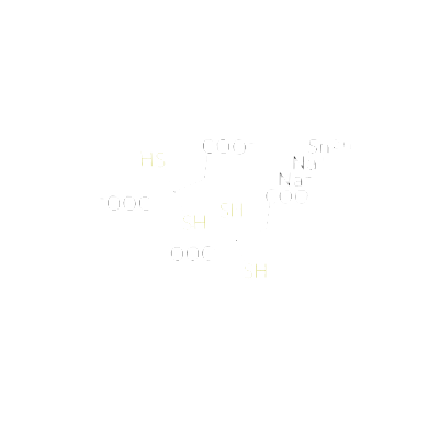 O=C([O-])CC(S)(S)C(=O)[O-].O=C([O-])CC(S)(S)C(=O)[O-].[Na+].[Na+].[Sn+2]